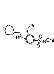 CC(C)CNS(=O)(=O)c1ccc(NCC2CCOCC2)c(SC(C)C)c1